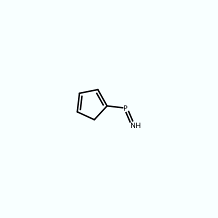 N=PC1=CC=CC1